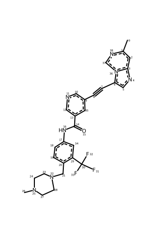 Cc1cc2ncc(C#Cc3cncc(C(=O)Nc4ccc(CN5CCN(C)CC5)c(C(F)(F)F)c4)c3)n2cn1